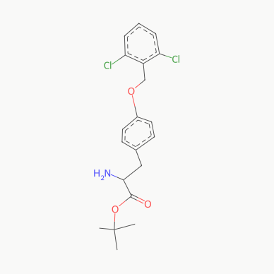 CC(C)(C)OC(=O)C(N)Cc1ccc(OCc2c(Cl)cccc2Cl)cc1